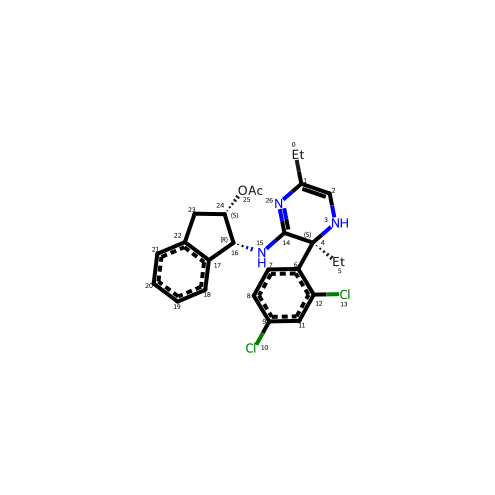 CCC1=CN[C@@](CC)(c2ccc(Cl)cc2Cl)C(N[C@@H]2c3ccccc3C[C@@H]2OC(C)=O)=N1